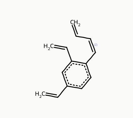 C=C/C=C\c1ccc(C=C)cc1C=C